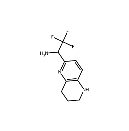 NC(c1ccc2c(n1)CCCN2)C(F)(F)F